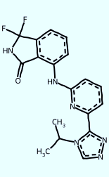 CC(C)n1cnnc1-c1cccc(Nc2cccc3c2C(=O)NC3(F)F)n1